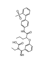 CCCC(Oc1cccc(C(=N)N(CC)C(=O)O)c1)C(=O)Nc1ccc(-c2ccccc2S(C)(=O)=O)cc1